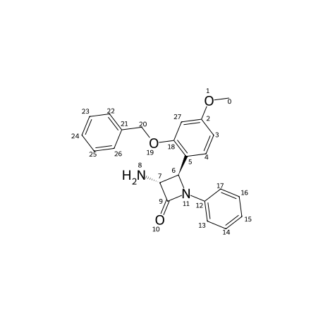 COc1ccc([C@@H]2[C@@H](N)C(=O)N2c2ccccc2)c(OCc2ccccc2)c1